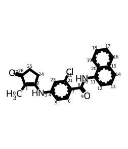 CC1=C(Nc2ccc(C(=O)Nc3cccc4ccccc34)c(Cl)c2)CCC1=O